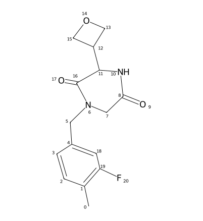 Cc1ccc(CN2CC(=O)NC(C3COC3)C2=O)cc1F